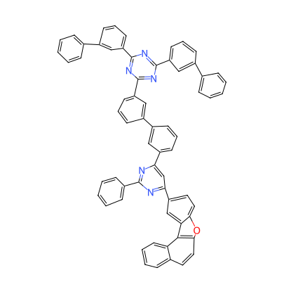 c1ccc(-c2cccc(-c3nc(-c4cccc(-c5ccccc5)c4)nc(-c4cccc(-c5cccc(-c6cc(-c7ccc8oc9ccc%10ccccc%10c9c8c7)nc(-c7ccccc7)n6)c5)c4)n3)c2)cc1